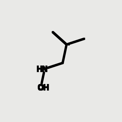 C[C](C)CNO